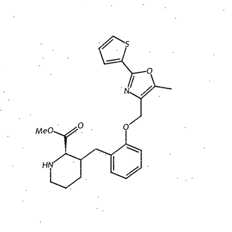 COC(=O)[C@@H]1NCCCC1Cc1ccccc1OCc1nc(-c2cccs2)oc1C